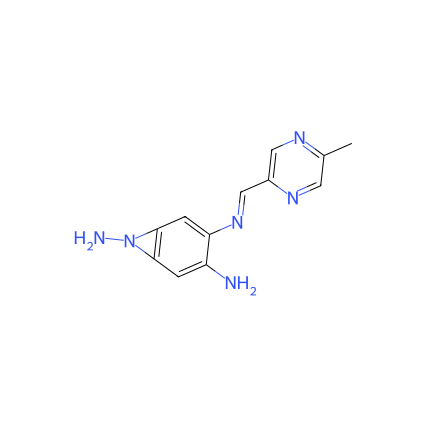 Cc1cnc(/C=N/c2cc3c(cc2N)N3N)cn1